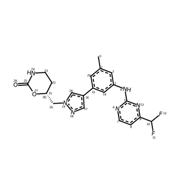 Cc1cc(Nc2nccc(C(F)F)n2)cc(-c2cnn(C[C@H]3CCNC(=O)O3)c2)c1